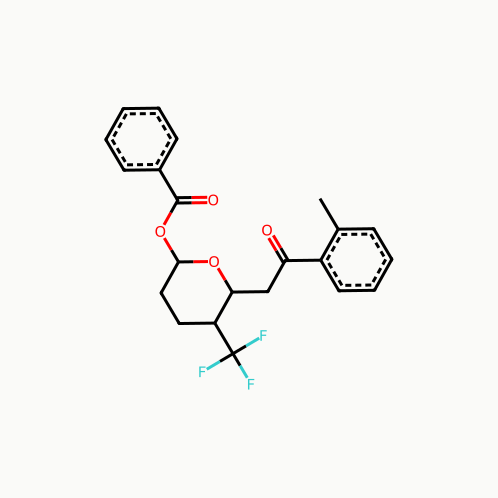 Cc1ccccc1C(=O)CC1OC(OC(=O)c2ccccc2)CCC1C(F)(F)F